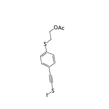 CC(=O)OCCSc1ccc(C#CSI)cc1